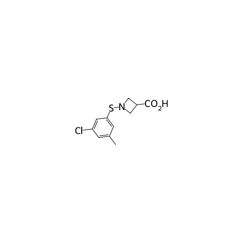 Cc1cc(Cl)cc(SN2CC(C(=O)O)C2)c1